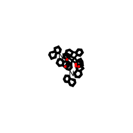 c1ccc(C2(C3(c4ccccc4)c4ccccc4-c4ccc(N(c5cccc6ccccc56)c5cccc6ccccc56)cc43)c3ccccc3-c3ccc(N(c4cccc5ccccc45)c4cccc5ccccc45)cc32)cc1